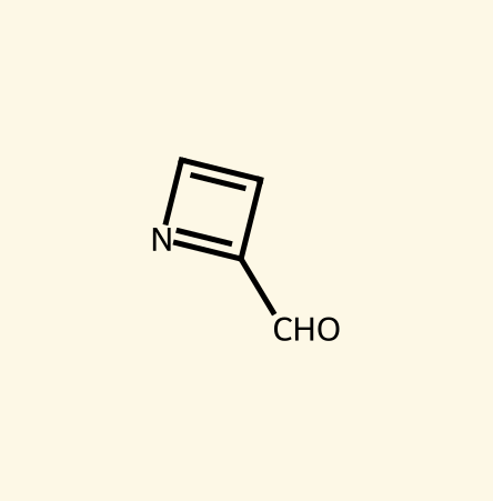 O=CC1=NC=C1